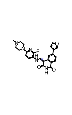 CN1CCN(c2ccc(N/C=C3\C(=O)NC(=O)c4ccc(-c5ccoc5)cc43)c(F)n2)CC1